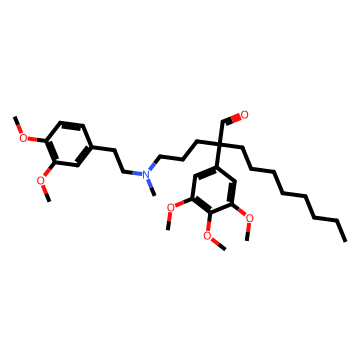 CCCCCCCCC(C=O)(CCCN(C)CCc1ccc(OC)c(OC)c1)c1cc(OC)c(OC)c(OC)c1